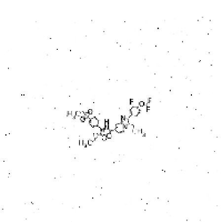 CCOC(=O)[C@H](NC(=O)c1ccn2c(CC)c(-c3ccc(OC(F)F)c(F)c3)nc2c1)c1ccc(S(=O)(=O)CC)cc1